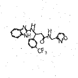 O=C(CC(Nc1nc2ccccc2[nH]1)c1cccc(C(F)(F)F)c1)NCc1ccon1